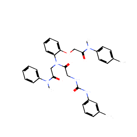 Cc1ccc(N(C)C(=O)COc2ccccc2N(CC(=O)N(C)c2ccccc2)C(=O)CNC(=O)Nc2cccc(C)c2)cc1